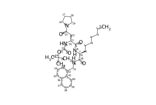 C=CCCCCC[C@H](NC(=O)[C@H](CC(=O)N1CCCC1)NC(=O)OC(C)(C)C)C(=O)NCc1cccc2ccccc12